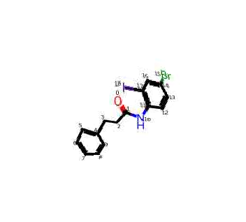 O=C(CCc1ccccc1)Nc1ccc(Br)cc1I